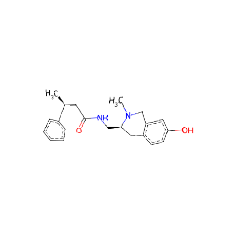 C[C@@H](CC(=O)NC[C@@H]1Cc2ccc(O)cc2CN1C)c1ccccc1